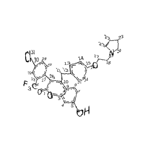 O=c1oc2cc(O)ccc2c(Cc2ccc(OCCN3CCCC3)cc2)c1-c1ccc(Cl)cc1C(F)(F)F